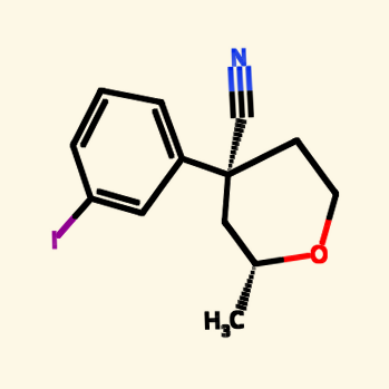 C[C@@H]1C[C@@](C#N)(c2cccc(I)c2)CCO1